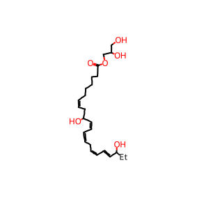 CCC(O)/C=C/C=C\C/C=C\C=C/C(O)C/C=C\CCCCCC(=O)OCC(O)CO